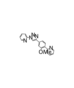 COc1cc(-c2cn(-c3ccccn3)nn2)ccc1-c1ccccn1